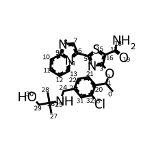 CC(Oc1nc(-c2cnc3ccccn23)sc1C(N)=O)c1ccc(CNC(C)(C)CO)cc1Cl